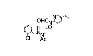 C=Cc1ccc(N(C=O)OCCN(NCc2ccccc2Cl)C(C)=O)nc1